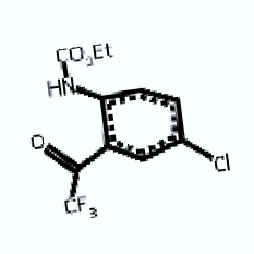 CCOC(=O)Nc1ccc(Cl)cc1C(=O)C(F)(F)F